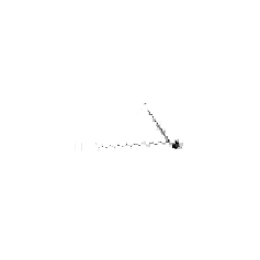 CCCCCCCCCCCCCCCCCCC(CCCCCCCCCC)n1ccnc1